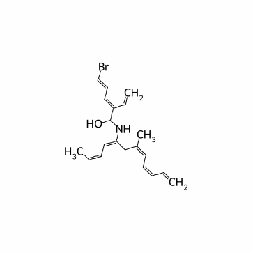 C=C/C=C\C=C(\C)C/C(=C\C=C/C)NC(O)/C(C=C)=C/C=C/Br